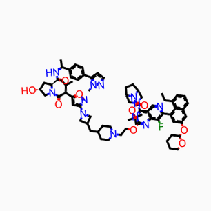 CCc1cccc2cc(OC3CCCCO3)cc(-c3ncc4c(N5CC6CCC(C5)N6C(=O)OC(C)(C)C)nc(OCCN5CCC(CC6CN(c7cc(C(C(=O)N8C[C@H](O)C[C@H]8C(=O)NC(C)c8ccc(-c9ccnn9C)cc8)C(C)C)on7)C6)CC5)nc4c3F)c12